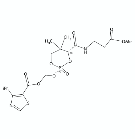 COC(=O)CCNC(=O)[C@@H]1O[P@](=O)(OCOC(=O)c2scnc2C(C)C)OCC1(C)C